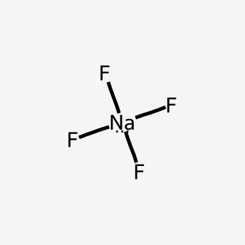 [F][Na]([F])([F])[F]